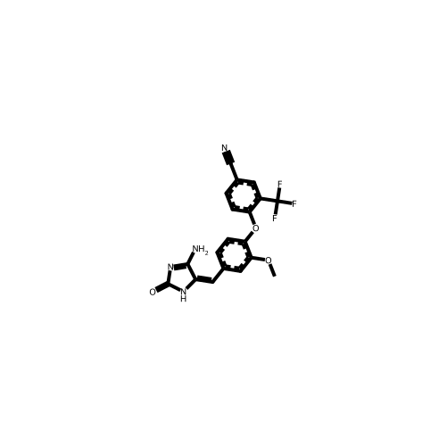 COc1cc(C=C2NC(=O)N=C2N)ccc1Oc1ccc(C#N)cc1C(F)(F)F